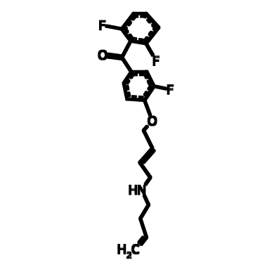 C=CCCNCC=CCOc1ccc(C(=O)c2c(F)cccc2F)cc1F